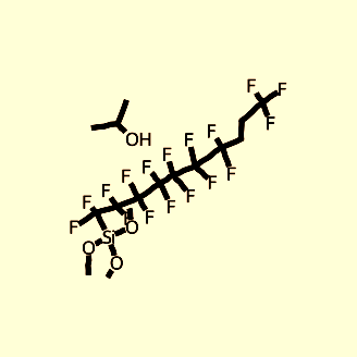 CC(C)O.CO[Si](OC)(OC)C(F)(F)C(F)(F)C(F)(F)C(F)(F)C(F)(F)C(F)(F)C(F)(F)CCC(F)(F)F